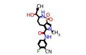 C#CC(O)C1CCc2c(cn(C)c2C(=O)Nc2ccc(F)c(C#N)c2)S(=O)(=O)N1